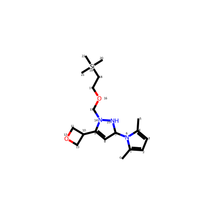 Cc1ccc(C)n1C1C=C(C2COC2)N(COCC[Si](C)(C)C)N1